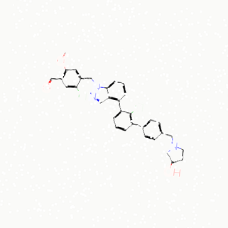 COc1cc(Cn2ncc3c(-c4cccc(-c5ccc(CN6CC[C@@H](O)C6)cc5)c4Cl)cccc32)c(Cl)cc1C=O